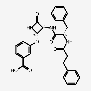 O=C(CCc1ccccc1)N[C@@H](Cc1ccccc1)C(=O)N[C@@H]1C(=O)N[C@H]1Oc1cccc(C(=O)O)c1